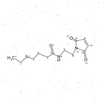 CCSCCCC(=O)NCCN1C(=O)C=CC1=O